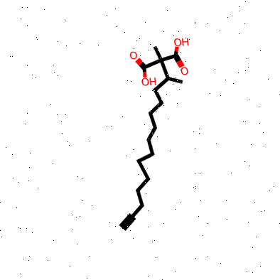 C#CCCCCCCCCCCC(C)C(C)(C(=O)O)C(=O)O